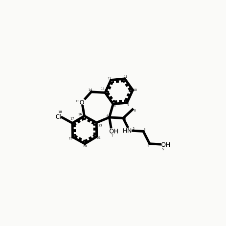 CC(NCCO)C1(O)c2ccccc2COc2c(Cl)cccc21